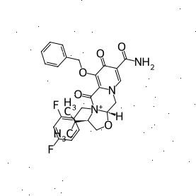 CC(C)[C@@H]1CO[C@H]2Cn3cc(C(N)=O)c(=O)c(OCc4ccccc4)c3C(=O)[N+]21Cc1ccc(F)cc1F